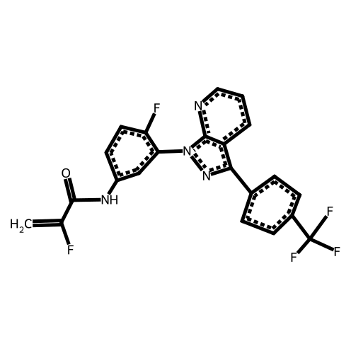 C=C(F)C(=O)Nc1ccc(F)c(-n2nc(-c3ccc(C(F)(F)F)cc3)c3cccnc32)c1